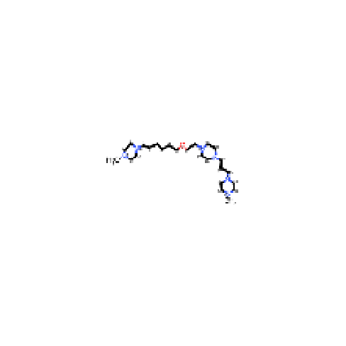 CN1CCN(CCCCCCOCCN2CCN(CCCN3CCN(C)CC3)CC2)CC1